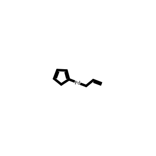 C=C[CH2][Pd][C]1=CC=CC1